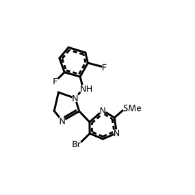 CSc1ncc(Br)c(C2=NCCN2Nc2c(F)cccc2F)n1